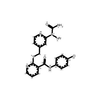 CCCN(C(N)=O)c1cc(CSc2ncccc2C(=O)Nc2ccc(Cl)cc2)ccn1